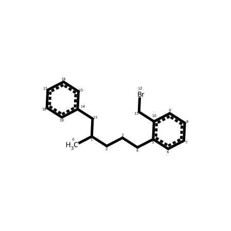 CC(CCCc1ccccc1CBr)Cc1ccccc1